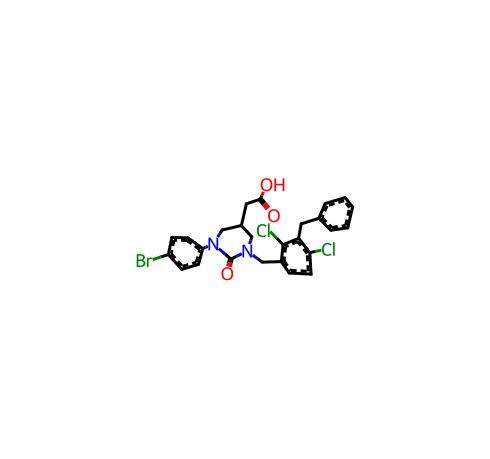 O=C(O)CC1CN(Cc2ccc(Cl)c(Cc3ccccc3)c2Cl)C(=O)N(c2ccc(Br)cc2)C1